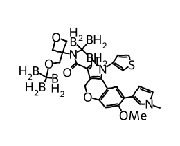 BC(B)(B)OCC1(N(C(=O)c2nn(-c3ccsc3)c3c2COc2cc(OC)c(-c4ccn(C)c4)cc2-3)C(B)(B)B)COC1